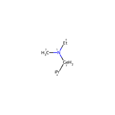 CC[N](C)[GeH2][CH](C)C